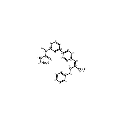 CCCCCCCNC(=O)N(C)c1cccc(-c2ccc(C=C(OCc3ccccc3)C(=O)O)cc2)c1